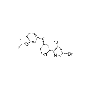 FC(F)Oc1cccc(SC2CCOC(c3ncc(Br)cc3Cl)C2)c1